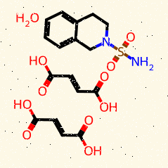 NS(=O)(=O)N1CCc2ccccc2C1.O.O=C(O)/C=C/C(=O)O.O=C(O)/C=C/C(=O)O